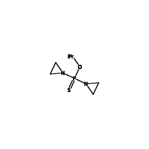 CC(C)OP(=S)(N1CC1)N1CC1